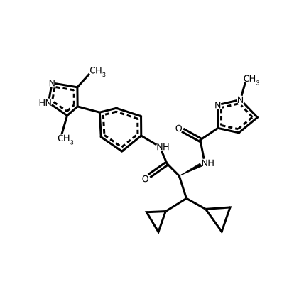 Cc1n[nH]c(C)c1-c1ccc(NC(=O)[C@@H](NC(=O)c2ccn(C)n2)C(C2CC2)C2CC2)cc1